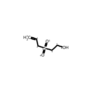 C=CCS(=O)(=O)CCO